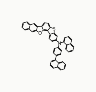 c1ccc2cc3c(cc2c1)oc1c3ccc2sc3cc(N(c4ccc(-c5cccc6ccccc56)cc4)c4cccc5ccccc45)ccc3c21